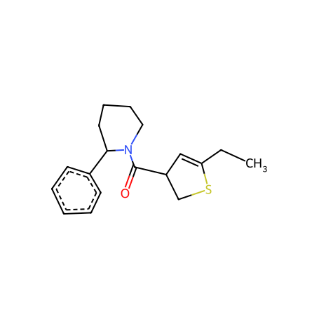 CCC1=CC(C(=O)N2CCCCC2c2ccccc2)CS1